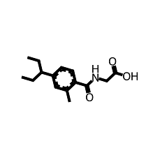 CCC(CC)c1ccc(C(=O)NCC(=O)O)c(C)c1